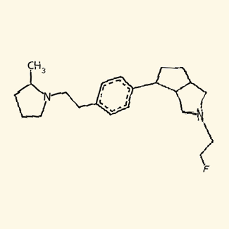 CC1CCCN1CCc1ccc(C2CCC3CN(CCF)CC32)cc1